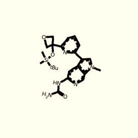 Cn1cc(-c2cccc(C3(O[Si](C)(C)C(C)(C)C)COC3)n2)c2cc(NC(N)=O)ncc21